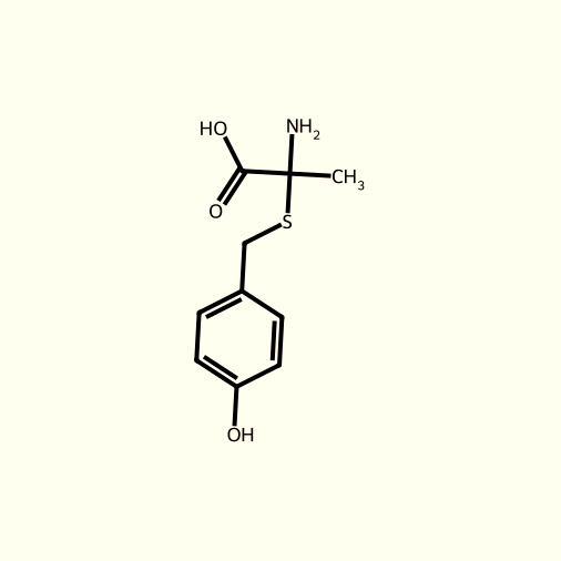 CC(N)(SCc1ccc(O)cc1)C(=O)O